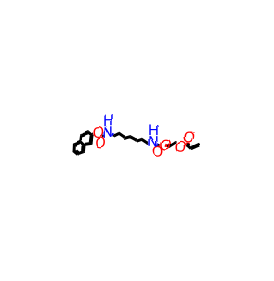 C=CC(=O)OCCOC(=O)NCCCCCCCNC(=O)Oc1ccc2ccccc2c1